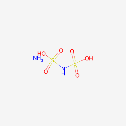 N.O=S(=O)(O)NS(=O)(=O)O